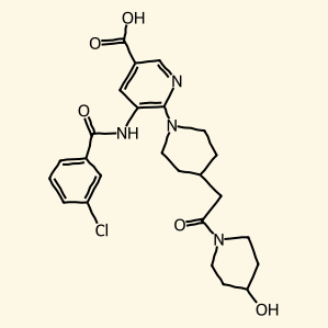 O=C(O)c1cnc(N2CCC(CC(=O)N3CCC(O)CC3)CC2)c(NC(=O)c2cccc(Cl)c2)c1